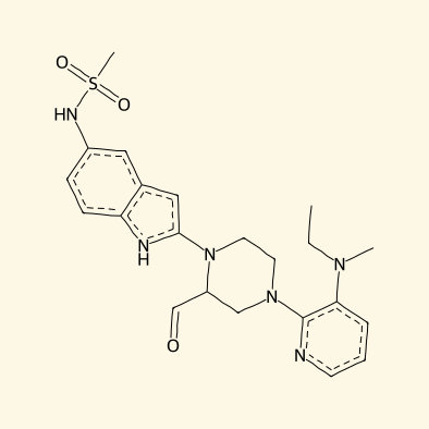 CCN(C)c1cccnc1N1CCN(c2cc3cc(NS(C)(=O)=O)ccc3[nH]2)C(C=O)C1